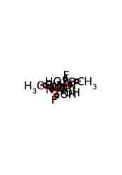 CCC(CO)n1c(-c2nc(-c3ccc(F)cc3)c(-c3ccnc(Oc4ccc(C)cc4)n3)n2C(CO)CO)nc(-c2ccc(F)cc2)c1-c1ccnc(Oc2ccc(C)cc2)n1